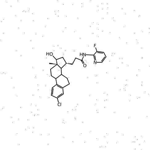 C[C@]12CCC3c4ccc(Cl)cc4CCC3C1[C@H](CCC(=O)Nc1ncccc1F)CC2O